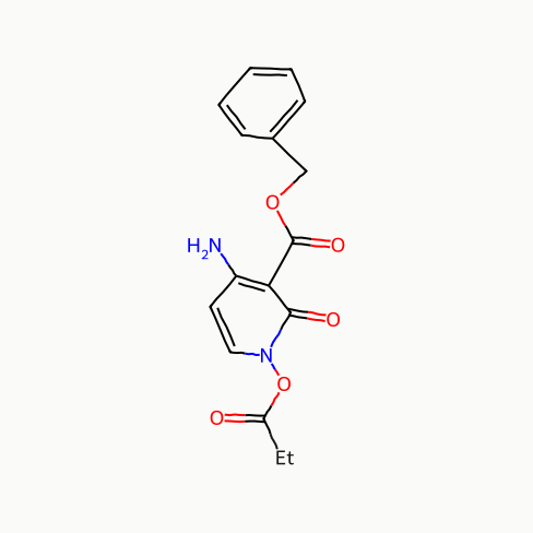 CCC(=O)On1ccc(N)c(C(=O)OCc2ccccc2)c1=O